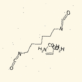 C=CC(=O)O.NC(=O)O.O=C=NCCCCCCN=C=O